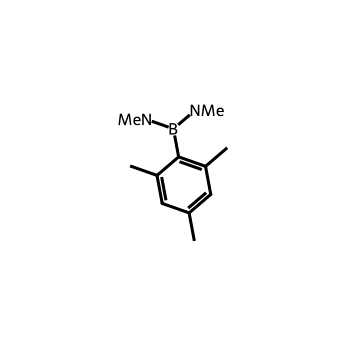 CNB(NC)c1c(C)cc(C)cc1C